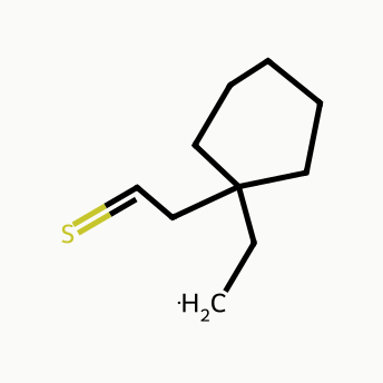 [CH2]CC1(CC=S)CCCCC1